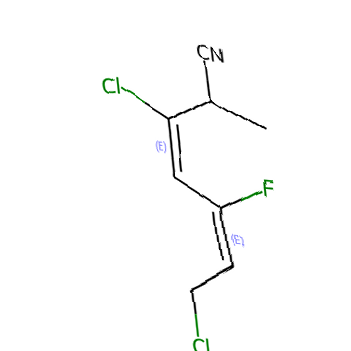 CC(C#N)/C(Cl)=C\C(F)=C/CCl